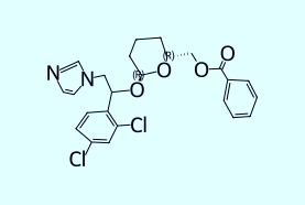 O=C(OC[C@H]1CCC[C@H](OC(Cn2ccnc2)c2ccc(Cl)cc2Cl)O1)c1ccccc1